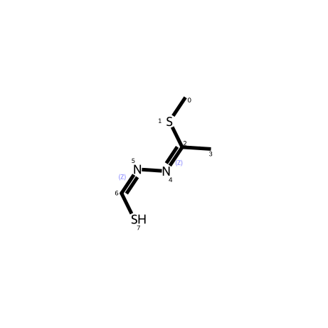 CS/C(C)=N\N=C/S